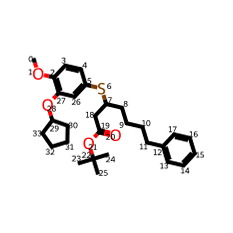 COc1ccc(SC(CCCCc2ccccc2)CC(=O)OC(C)(C)C)cc1OC1CCCC1